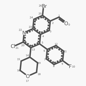 O=Cc1cc2c(-c3ccc(F)cc3)c(C3CCOCC3)c(Cl)nc2cc1Br